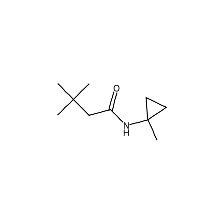 CC(C)(C)CC(=O)NC1(C)CC1